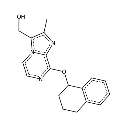 Cc1nc2c(OC3CCCc4ccccc43)nccn2c1CO